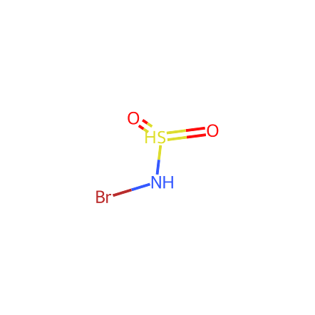 O=[SH](=O)NBr